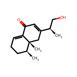 C[C@H](CO)C1=CC(=O)C2=CCC[C@H](C)[C@@]2(C)C1